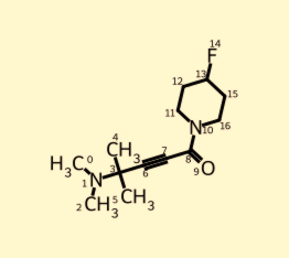 CN(C)C(C)(C)C#CC(=O)N1CCC(F)CC1